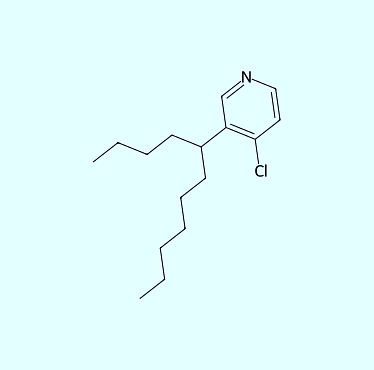 CCCCCCC(CCCC)c1cnccc1Cl